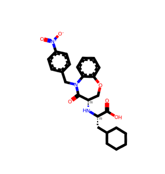 O=C(O)[C@H](CC1CCCCC1)N[C@H]1COc2ccccc2N(Cc2ccc([N+](=O)[O-])cc2)C1=O